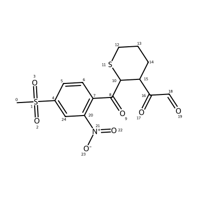 CS(=O)(=O)c1ccc(C(=O)C2SCCCC2C(=O)C=O)c([N+](=O)[O-])c1